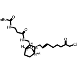 CCCCC(=O)NCCC(=O)NC[C@H]1[C@@H](CC=CCCCC(=O)CCl)[C@H]2CC[C@@H]1O2